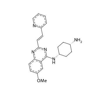 COc1ccc2nc(C=Cc3ccccn3)nc(N[C@H]3CC[C@@H](N)CC3)c2c1